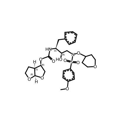 COc1ccc(S(=O)(=O)N(C[C@@H](O)[C@H](Cc2ccccc2)NC(=O)O[C@H]2CO[C@H]3OCC[C@H]32)OC2CCOCC2)cc1